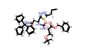 CC[C@H](C)c1nnc([C@H](CC(=O)NC(c2ccccc2)(c2ccccc2)c2ccccc2)NC(=O)N[C@H](C(=O)OCc2ccccc2)C(C)OC(C)(C)C)s1